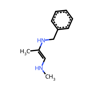 CNC=C(C)NCc1ccccc1